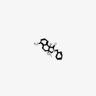 Cc1cccc2c1CC[C@@]1(C)CN(Cc3ccccc3)C(=O)[C@@H]21